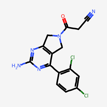 N#CCC(=O)N1Cc2nc(N)nc(-c3ccc(Cl)cc3Cl)c2C1